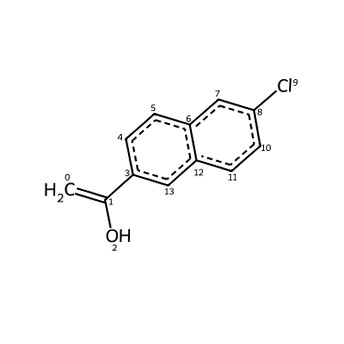 C=C(O)c1ccc2cc(Cl)ccc2c1